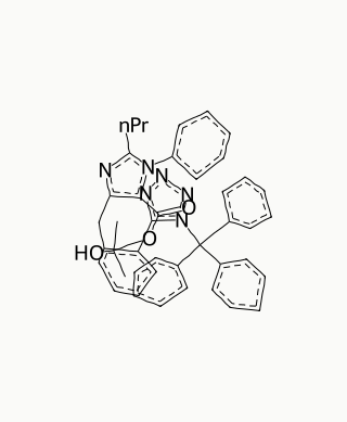 CCCc1nc(Cc2ccccc2-c2nnnn2C(c2ccccc2)(c2ccccc2)c2ccccc2)c(C(=O)OC(C)(C)O)n1-c1ccccc1